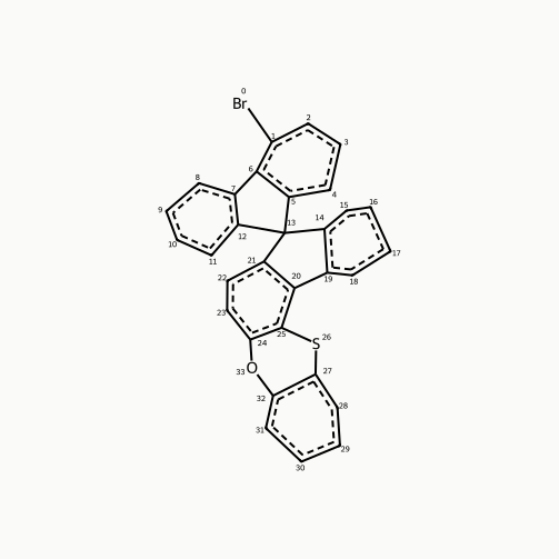 Brc1cccc2c1-c1ccccc1C21c2ccccc2-c2c1ccc1c2Sc2ccccc2O1